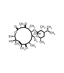 CC[C@H]1OC(=O)[C@H](C)C(=O)[C@H](C)[C@@H](O[C@@H]2O[C@H](C)C[C@H](N(C)C)[C@H]2C)[C@](C)(OC)C[C@@H](C)C(=O)/C(C)=C/[C@]1(C)O